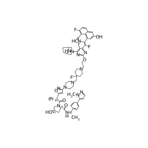 C#Cc1c(F)ccc2cc(O)cc(-c3ncc4c(N5CC6CCC(C5)N6)nc(OCCN5CCC(F)(CN6CCN(c7cc([C@H](C(=O)N8C[C@H](O)C[C@H]8C(=O)N[C@@H](C)c8ccc(-c9ccnn9C)cc8)C(C)C)on7)CC6)CC5)nc4c3F)c12